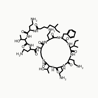 CCC(C)CCCCC(=O)NC(CCN)C(=O)NC(C(=O)NC(CCN)C(=O)NC1CCNC(=O)C(C(C)O)NC(=O)C(CCN)NC(=O)C(CCN)NC(=O)C(C(C)CC)NC(=O)C(Cc2ccccc2)NC(=O)C(CCN)NC1=O)C(C)O